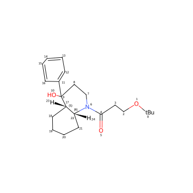 CC(C)(C)OCCC(=O)N1CCC(O)(c2ccccc2)[C@H]2CCCC[C@H]21